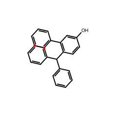 Oc1ccc(C(c2ccccc2)c2ccccc2)c(-c2ccccc2)c1